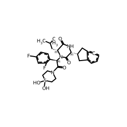 CC(C)C[C@@H]1C(=O)N[C@H](C2Cc3ccccc3C2)C(=O)N1[C@@H](C(=O)N1CCS(O)(O)CC1)c1ccc(F)cc1F